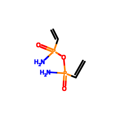 C=CP(N)(=O)OP(N)(=O)C=C